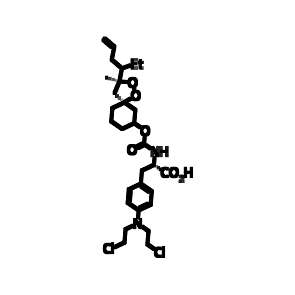 C=CCC(CC)[C@]1(C)C[C@]2(CCCC(OC(=O)N[C@@H](Cc3ccc(N(CCCl)CCCl)cc3)C(=O)O)C2)OO1